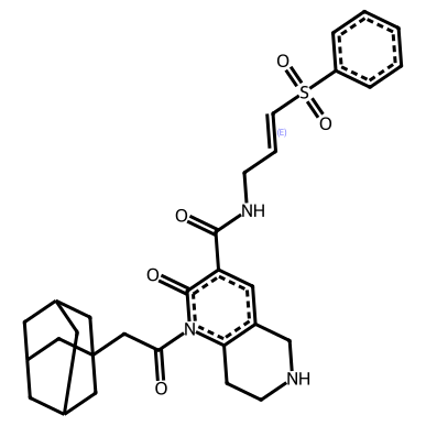 O=C(NC/C=C/S(=O)(=O)c1ccccc1)c1cc2c(n(C(=O)CC34CC5CC(CC(C5)C3)C4)c1=O)CCNC2